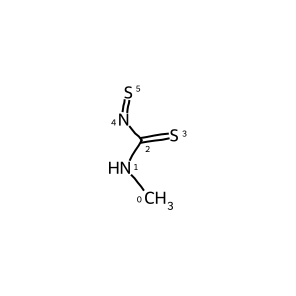 CNC(=S)N=S